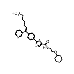 O=C(O)CCCCC=C(c1ccc(-c2nc(C(=O)NCCOC3CCCCC3)co2)cc1)c1cccnc1